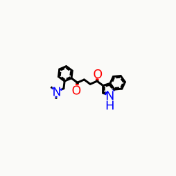 CN(C)Cc1ccccc1C(=O)CCC(=O)c1c[nH]c2ccccc12